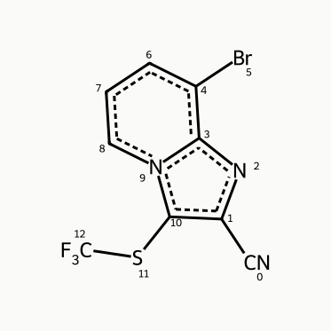 N#Cc1nc2c(Br)cccn2c1SC(F)(F)F